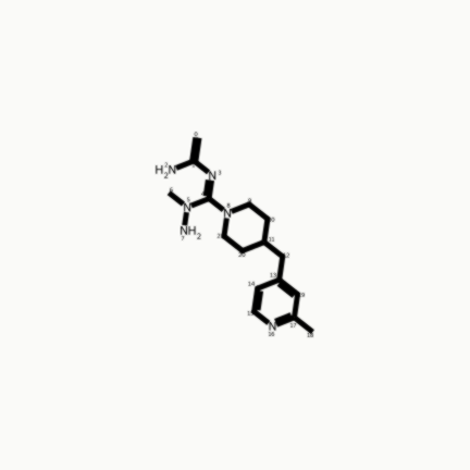 C=C(N)/N=C(\N(C)N)N1CCC(Cc2ccnc(C)c2)CC1